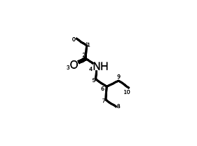 C[CH]C(=O)NCC(CC)CC